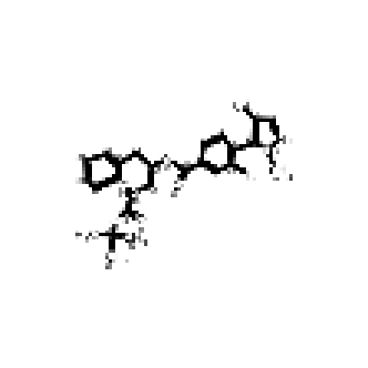 Cn1ncc(Cl)c1-c1ccc(C(=O)NC(CNC(=O)OC(C)(C)C)Cc2ccccc2)cc1F